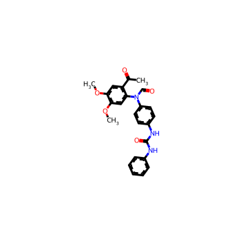 COc1cc(C(C)=O)c(N(C=O)c2ccc(NC(=O)Nc3ccccc3)cc2)cc1OC